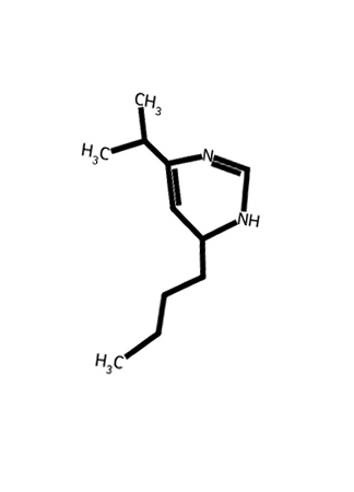 CCCCC1C=C(C(C)C)N=CN1